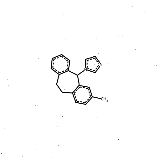 Cc1ccc2c(c1)C(n1ccnc1)c1ccccc1CC2